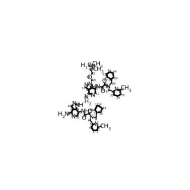 Cc1cccc(CN(Cc2ccccc2)C(=O)C(=O)Nc2cnc(N)c3cn[nH]c23)n1.Cc1cccc(CN(Cc2ccccc2)C(=O)C(=O)Nc2cnc(N)c3cnn(COCC[Si](C)(C)C)c23)n1